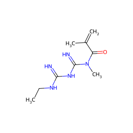 C=C(C)C(=O)N(C)C(=N)NC(=N)NCC